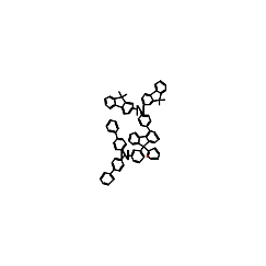 CC1(C)c2ccccc2-c2ccc(N(c3ccc(-c4cccc5c4-c4ccccc4C5(c4ccccc4)c4cccc(N(c5ccc(-c6ccccc6)cc5)c5ccc(-c6ccccc6)cc5)c4)cc3)c3ccc4c(c3)C(C)(C)c3ccccc3-4)cc21